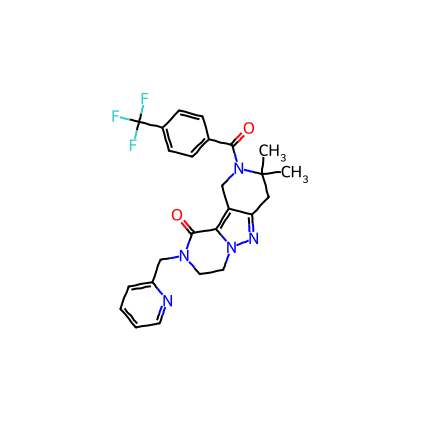 CC1(C)Cc2nn3c(c2CN1C(=O)c1ccc(C(F)(F)F)cc1)C(=O)N(Cc1ccccn1)CC3